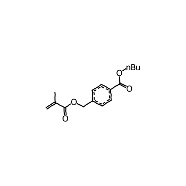 C=C(C)C(=O)OCc1ccc(C(=O)OCCCC)cc1